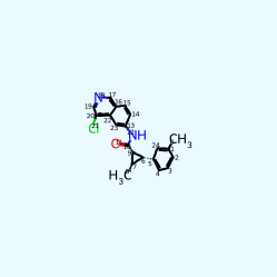 Cc1cccc([C@@H]2[C@@H](C)[C@H]2C(=O)Nc2ccc3cncc(Cl)c3c2)c1